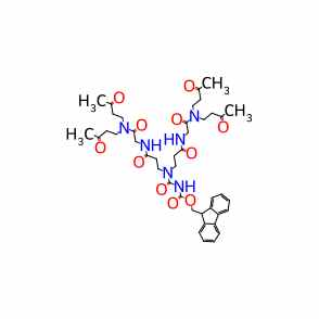 CC(=O)CCN(CCC(C)=O)C(=O)CNC(=O)CCN(CCC(=O)NCC(=O)N(CCC(C)=O)CCC(C)=O)C(=O)NC(=O)OCC1c2ccccc2-c2ccccc21